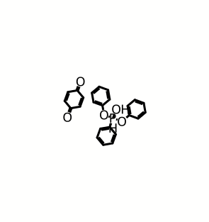 O=C1C=CC(=O)C=C1.O[PH](Oc1ccccc1)(Oc1ccccc1)c1ccccc1